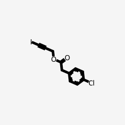 O=C(Cc1ccc(Cl)cc1)OCC#CI